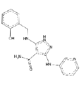 NC(=O)c1c(Nc2cccnc2)n[nH]c1NCc1ccccc1O